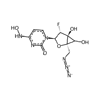 [N-]=[N+]=NC[C@]12O[C@@H](n3ccc(NO)nc3=O)[C@H](F)[C@]1(O)C2O